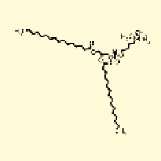 CCCCCCCCCCCCCCCC(=O)OCC(COP(=O)([O-])OCCCC[N+](C)(C)C)OC(=O)CCCCCCCCCCCCCCC